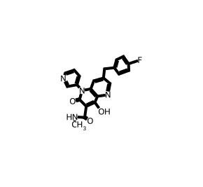 CNC(=O)c1c(O)c2ncc(Cc3ccc(F)cc3)cc2n(-c2cccnc2)c1=O